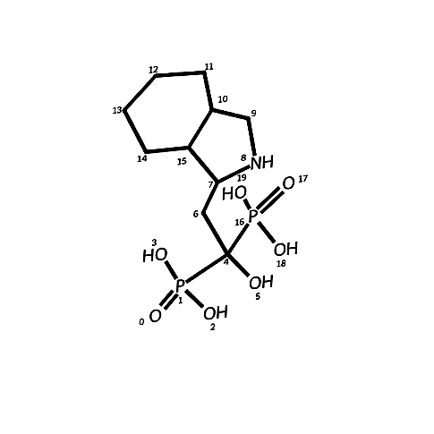 O=P(O)(O)C(O)(CC1NCC2CCCCC21)P(=O)(O)O